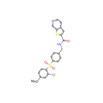 COc1ccc(S(=O)(=O)c2ccc(CNC(=O)c3cc4ccncc4s3)cc2)c(Cl)c1